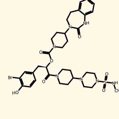 CNS(=O)(=O)N1CCN(C2CCN(C(=O)[C@@H](Cc3ccc(O)c(Br)c3)OC(=O)N3CCC(N4CCc5ccccc5NC4=O)CC3)CC2)CC1